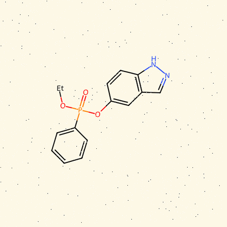 CCOP(=O)(Oc1ccc2[nH]ncc2c1)c1ccccc1